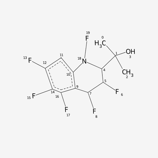 CC(C)(O)C1C(F)C(F)c2c(cc(F)c(F)c2F)N1F